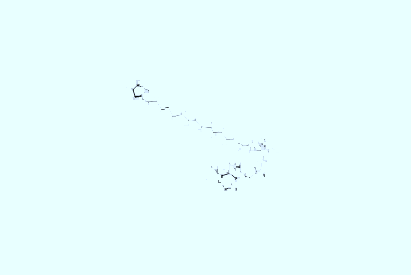 C[C@H](Cn1cnc2c(N)ncnc21)OCP(=O)(O)OCCSCCCCCCCCCCCCCc1cccs1